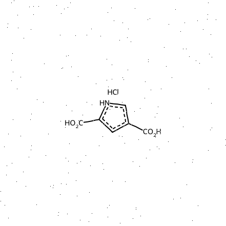 Cl.O=C(O)c1c[nH]c(C(=O)O)c1